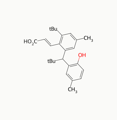 Cc1ccc(O)c(C(c2cc(C)cc(C(C)(C)C)c2C=CC(=O)O)C(C)(C)C)c1